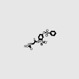 O=C(O)NCC(=S)Nc1ccc(OS(=O)(=O)c2ccccc2)cc1[N+](=O)[O-]